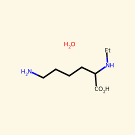 CCNC(CCCCN)C(=O)O.O